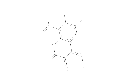 O=C1Nc2c(cc(Br)c(Br)c2[N+](=O)[O-])/C(=N/O)C1=O